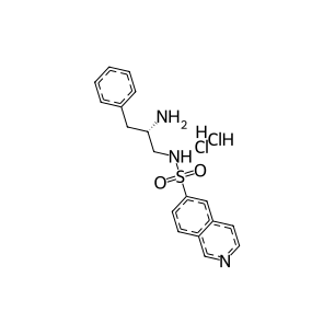 Cl.Cl.N[C@H](CNS(=O)(=O)c1ccc2cnccc2c1)Cc1ccccc1